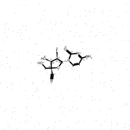 N#C[C@]1(CO)O[C@@H](n2ccc(N)nc2=O)[C@H](F)[C@@H]1O